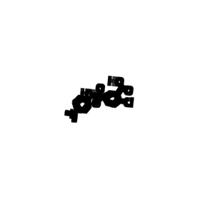 CN(C)c1ccc(NS(=O)(=O)c2ccc(Cl)c(C(=O)O)c2)cc1